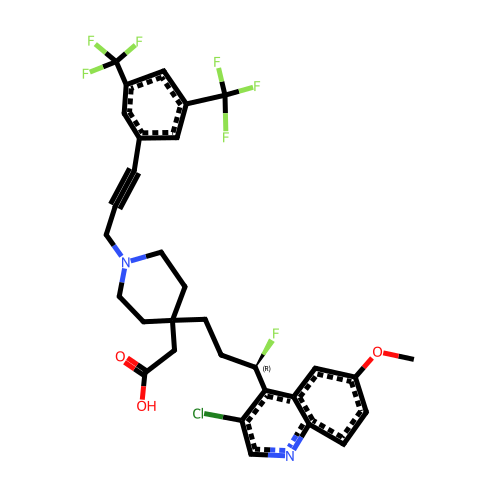 COc1ccc2ncc(Cl)c([C@H](F)CCC3(CC(=O)O)CCN(CC#Cc4cc(C(F)(F)F)cc(C(F)(F)F)c4)CC3)c2c1